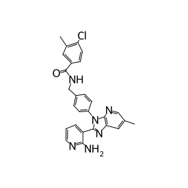 Cc1cnc2c(c1)nc(-c1cccnc1N)n2-c1ccc(CNC(=O)c2ccc(Cl)c(C)c2)cc1